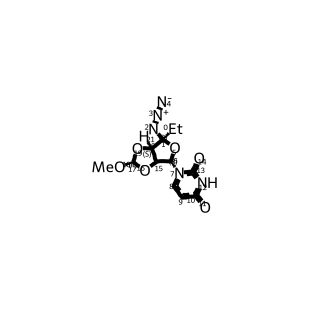 CC[C@@]1(N=[N+]=[N-])O[C@@H](n2ccc(=O)[nH]c2=O)C2O[C@@H](OC)O[C@@H]21